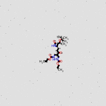 C=CCOC(=O)NCC(CNC(=O)OCC=C)C(=O)CC[C@H]1NC(=O)[C@@H]1[C@@H](C)O[Si](C)(C)C(C)(C)C